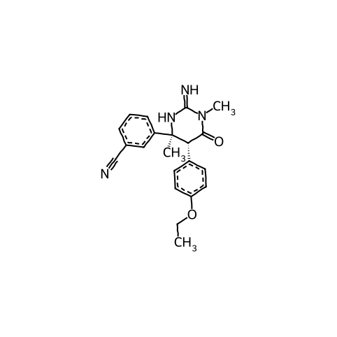 CCOc1ccc([C@H]2C(=O)N(C)C(=N)N[C@]2(C)c2cccc(C#N)c2)cc1